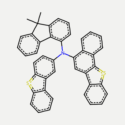 CC1(C)c2ccccc2-c2c(N(c3ccc4sc5ccccc5c4c3)c3cc4c5ccccc5sc4c4ccccc34)cccc21